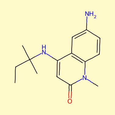 CCC(C)(C)Nc1cc(=O)n(C)c2ccc(N)cc12